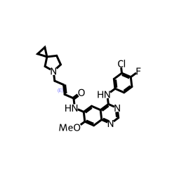 COc1cc2ncnc(Nc3ccc(F)c(Cl)c3)c2cc1NC(=O)/C=C/CN1CCC2(CC2)C1